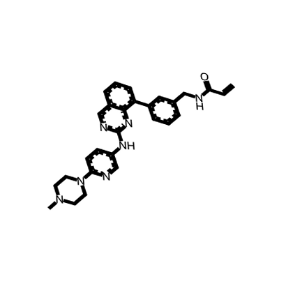 C=CC(=O)NCc1cccc(-c2cccc3cnc(Nc4ccc(N5CCN(C)CC5)nc4)nc23)c1